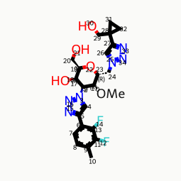 CO[C@@H]1[C@@H](n2cc(-c3ccc(C)c(F)c3F)nn2)[C@@H](O)[C@@H](CO)O[C@@H]1Cn1cc(C2(CO)CC2)nn1